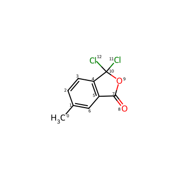 Cc1ccc2c(c1)C(=O)OC2(Cl)Cl